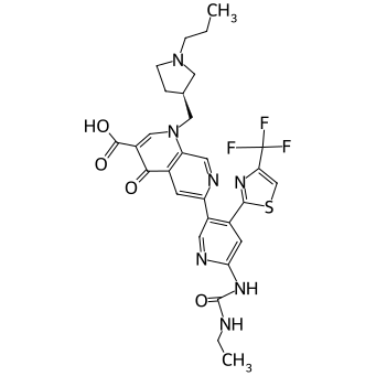 CCCN1CC[C@H](Cn2cc(C(=O)O)c(=O)c3cc(-c4cnc(NC(=O)NCC)cc4-c4nc(C(F)(F)F)cs4)ncc32)C1